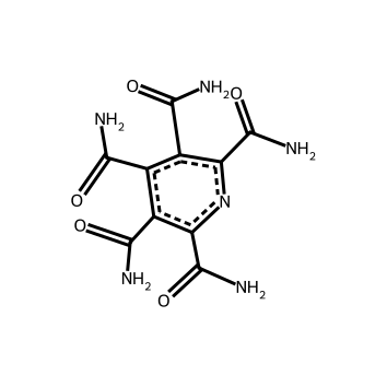 NC(=O)c1nc(C(N)=O)c(C(N)=O)c(C(N)=O)c1C(N)=O